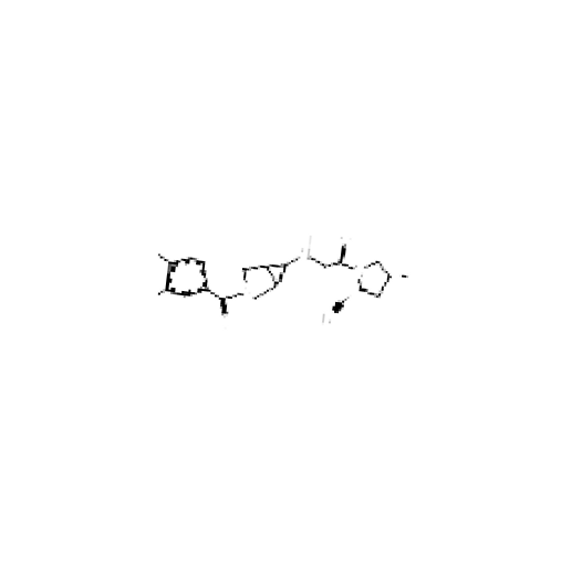 N#C[C@@H]1C[C@H](F)CN1C(=O)CNC1C2CN(C(=O)c3ccc(F)c(F)c3)CC21